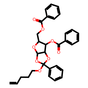 C=CCCCOC1(c2ccccc2)OC2OC(COC(=O)c3ccccc3)C(OC(=O)c3ccccc3)C2O1